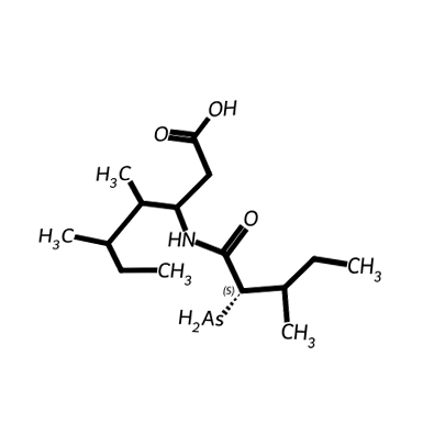 CCC(C)C(C)C(CC(=O)O)NC(=O)[C@@H]([AsH2])C(C)CC